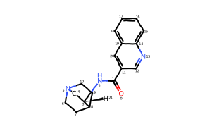 O=C(N[C@H]1CN2CCC1CC2)c1cnc2ccccc2c1